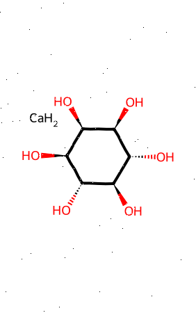 O[C@H]1[C@H](O)[C@@H](O)[C@H](O)[C@@H](O)[C@H]1O.[CaH2]